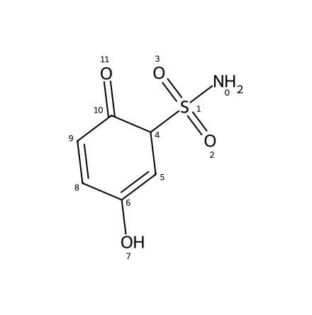 NS(=O)(=O)C1C=C(O)C=CC1=O